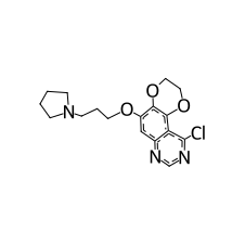 Clc1ncnc2cc(OCCCN3CCCC3)c3c(c12)OCCO3